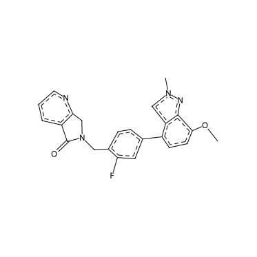 COc1ccc(-c2ccc(CN3Cc4ncccc4C3=O)c(F)c2)c2cn(C)nc12